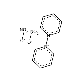 O=[N+]([O-])[O-].O=[N+]([O-])[O-].c1cc[n+](-[n+]2ccccc2)cc1